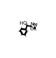 OC(c1ccccc1)c1nnco1